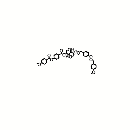 COc1ccc(COOc2ccc(COO[C@@H]3CO[C@@H]4C(OC(=O)c5ccc(OC(=O)c6ccc(OC)cc6)cc5)CO[C@@H]43)cc2)cc1